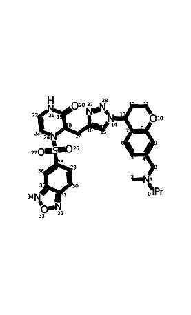 CC(C)N(C)Cc1ccc2c(c1)OCCC2n1cc(CC2C(=O)NC=CN2S(=O)(=O)c2ccc3nonc3c2)nn1